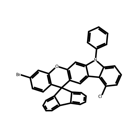 Clc1cccc2c1c1cc3c(cc1n2-c1ccccc1)Oc1cc(Br)ccc1C31c2ccccc2-c2ccccc21